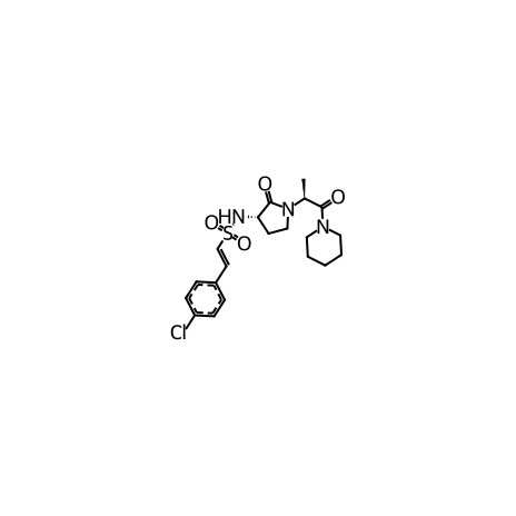 C[C@@H](C(=O)N1CCCCC1)N1CC[C@H](NS(=O)(=O)C=Cc2ccc(Cl)cc2)C1=O